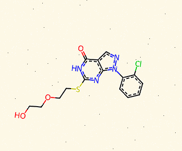 O=c1[nH]c(SCCOCCO)nc2c1cnn2-c1ccccc1Cl